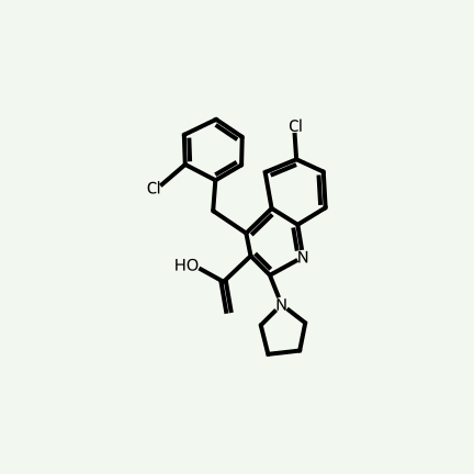 C=C(O)c1c(N2CCCC2)nc2ccc(Cl)cc2c1Cc1ccccc1Cl